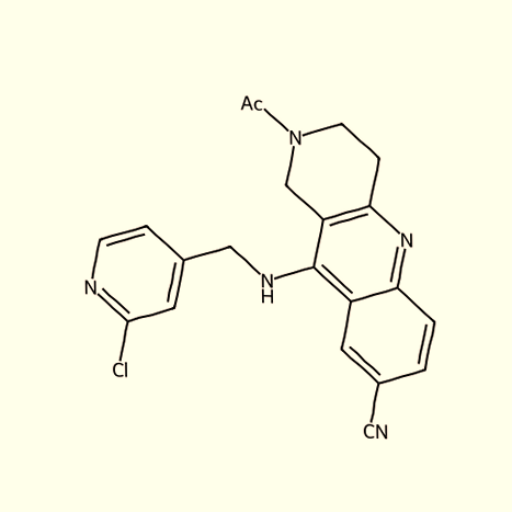 CC(=O)N1CCc2nc3ccc(C#N)cc3c(NCc3ccnc(Cl)c3)c2C1